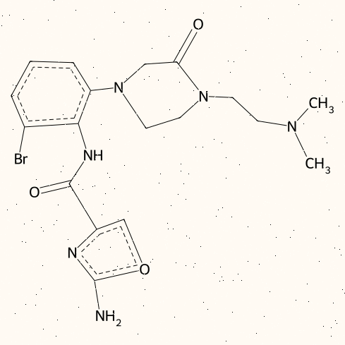 CN(C)CCN1CCN(c2cccc(Br)c2NC(=O)c2coc(N)n2)CC1=O